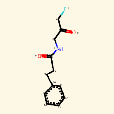 O=C(CF)CNC(=O)CCc1ccccc1